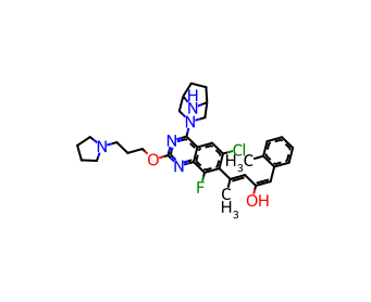 C/C(=C\C(O)=C/c1ccccc1C)c1c(Cl)cc2c(N3CC4CCC(C3)N4)nc(OCCCN3CCCC3)nc2c1F